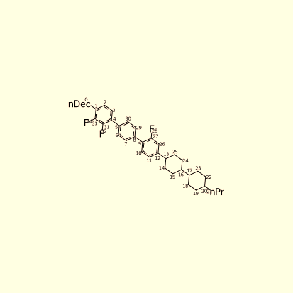 CCCCCCCCCCc1ccc(-c2ccc(-c3ccc(C4CCC(C5CCC(CCC)CC5)CC4)cc3F)cc2)c(F)c1F